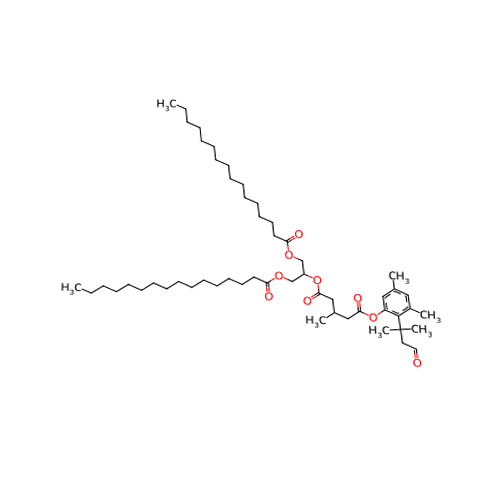 CCCCCCCCCCCCCCCC(=O)OCC(COC(=O)CCCCCCCCCCCCCCC)OC(=O)CC(C)CC(=O)Oc1cc(C)cc(C)c1C(C)(C)CC=O